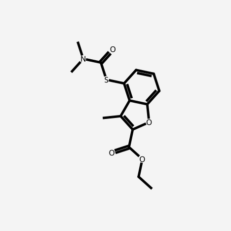 CCOC(=O)c1oc2cccc(SC(=O)N(C)C)c2c1C